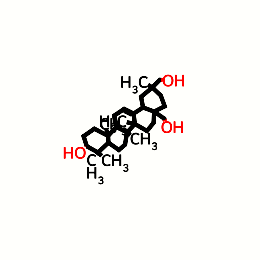 CC1(CO)CCC2(CO)CCC3(C)C(=CCC4C5(C)CCC(O)C(C)(C)C5CCC43C)C2C1